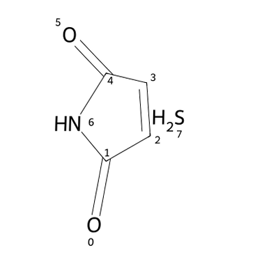 O=C1C=CC(=O)N1.S